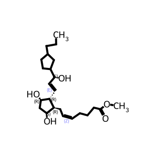 CCCC1CCC([C@H](O)/C=C/[C@@H]2[C@@H](C/C=C\CCCC(=O)OC)[C@@H](O)C[C@H]2O)C1